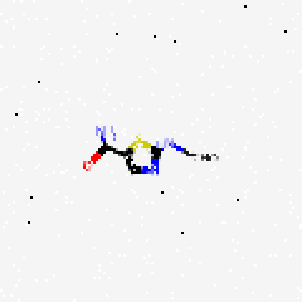 NC(=O)c1cnc(NC=O)s1